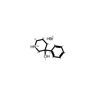 Br.OC1(c2ccccc2)CCCNC1